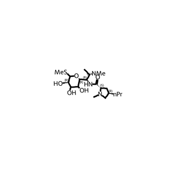 CCC[C@@H]1C[C@@H](C(=O)N[C@H]([C@H](C)NC)[C@H]2OC(SC)[C@H](O)C(O)C2O)N(C)C1